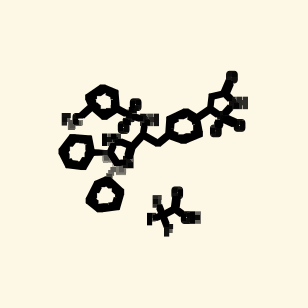 O=C(O)C(F)(F)F.O=C1CC(c2ccc(CC(NS(=O)(=O)c3cccc(C(F)(F)F)c3)C3=N[C@H](c4ccccc4)[C@@H](c4ccccc4)N3)cc2)S(=O)(=O)N1